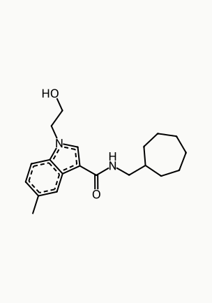 Cc1ccc2c(c1)c(C(=O)NCC1CCCCCC1)cn2CCO